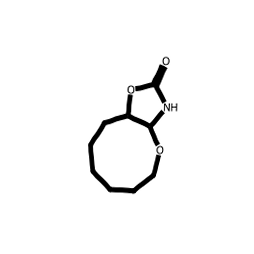 O=C1NC2OCCCCCCC2O1